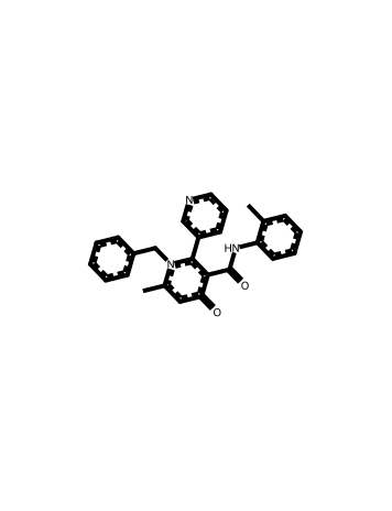 Cc1ccccc1NC(=O)c1c(-c2cccnc2)n(Cc2ccccc2)c(C)cc1=O